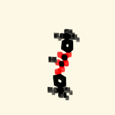 CC(C)(C)C1CCC(OOC(=O)OC(=O)OC2CCC(C(C)(C)C)CC2)CC1.[KH]